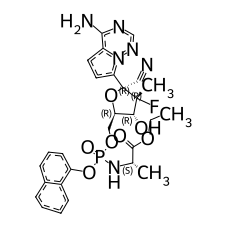 CCOC(=O)[C@H](C)NP(=O)(OC[C@H]1O[C@@](C#N)(c2ccc3c(N)ncnn23)[C@](C)(F)[C@@H]1O)Oc1cccc2ccccc12